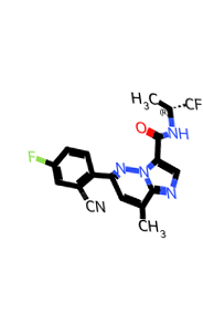 Cc1cc(-c2ccc(F)cc2C#N)nn2c(C(=O)N[C@H](C)C(F)(F)F)cnc12